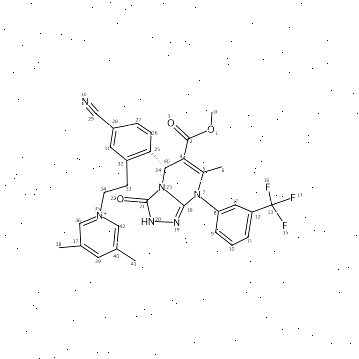 COC(=O)C1=C(C)N(c2cccc(C(F)(F)F)c2)c2n[nH]c(=O)n2[C@@H]1c1ccc(C#N)cc1CC[n+]1cc(C)cc(C)c1